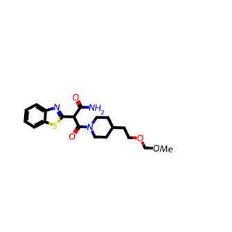 COCOCCC1CCN(C(=O)C(C(N)=O)c2nc3ccccc3s2)CC1